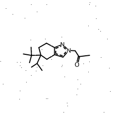 CC(=O)Cn1cc2c(n1)CCC(C(C)C)(C(C)(C)C)C2